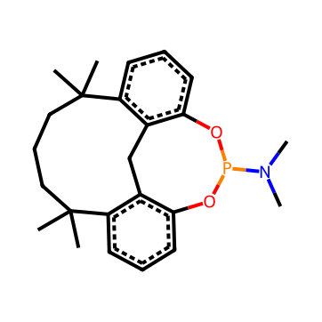 CN(C)P1Oc2cccc3c2Cc2c(cccc2C(C)(C)CCCC3(C)C)O1